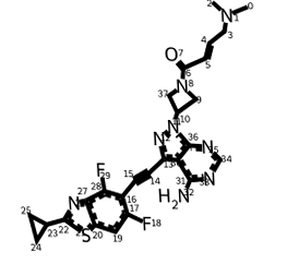 CN(C)C/C=C/C(=O)N1CC(n2nc(C#Cc3c(F)cc4sc(C5CC5)nc4c3F)c3c(N)ncnc32)C1